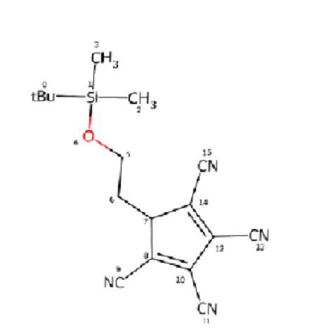 CC(C)(C)[Si](C)(C)OCCC1C(C#N)=C(C#N)C(C#N)=C1C#N